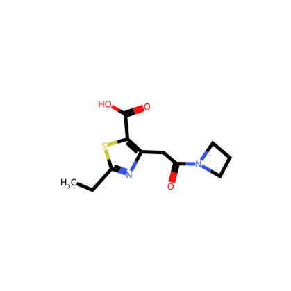 CCc1nc(CC(=O)N2CCC2)c(C(=O)O)s1